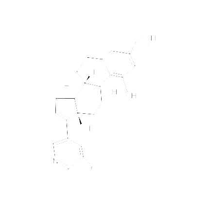 Cc1cc(C(=O)O)cc2c1[C@H]1CC[C@]3(C)C(c4cncc(C(F)(F)F)c4)=CC[C@H]3[C@@H]1CC2